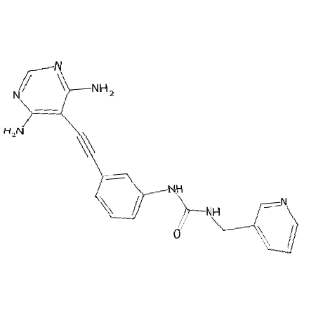 Nc1ncnc(N)c1C#Cc1cccc(NC(=O)NCc2cccnc2)c1